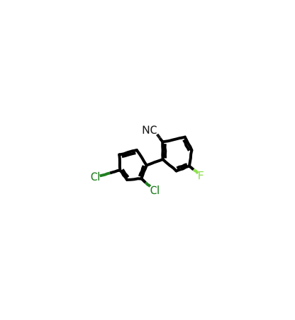 N#Cc1ccc(F)cc1-c1ccc(Cl)cc1Cl